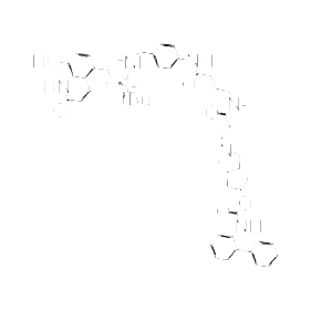 CN(CCCC(=O)Nc1ccc(CNC[C@H](O[Si](C)(C)C(C)(C)C)c2ccc(O)c3[nH]c(=O)ccc23)cc1)C(=O)CCN1CC2CC(OC(=O)Nc3ccccc3-c3ccccc3)CC2C1